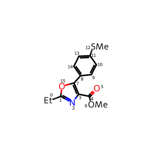 CCc1nc(C(=O)OC)c(-c2ccc(SC)cc2)o1